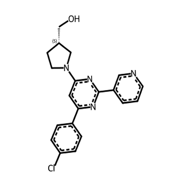 OC[C@H]1CCN(c2cc(-c3ccc(Cl)cc3)nc(-c3cccnc3)n2)C1